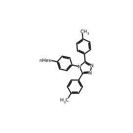 CCCCCCc1ccc(-n2c(-c3ccc(C)cc3)nnc2-c2ccc(C)cc2)cc1